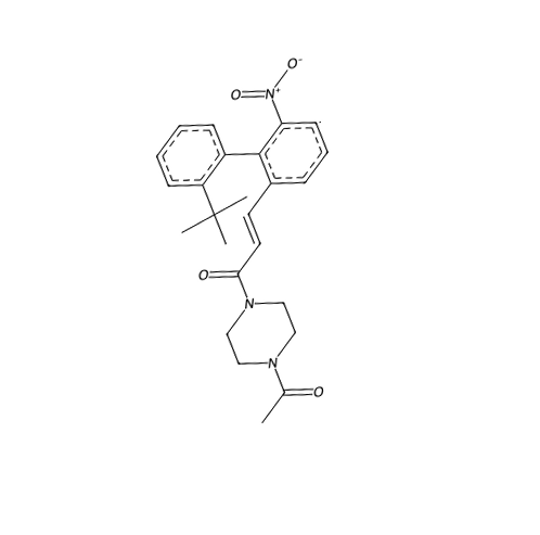 CC(=O)N1CCN(C(=O)/C=C/c2cc[c]c([N+](=O)[O-])c2-c2ccccc2C(C)(C)C)CC1